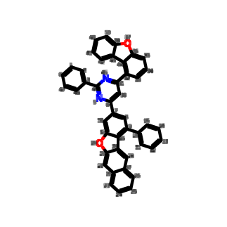 c1ccc(-c2nc(-c3cc(-c4ccccc4)c4c(c3)oc3cc5ccccc5cc34)cc(-c3cccc4oc5ccccc5c34)n2)cc1